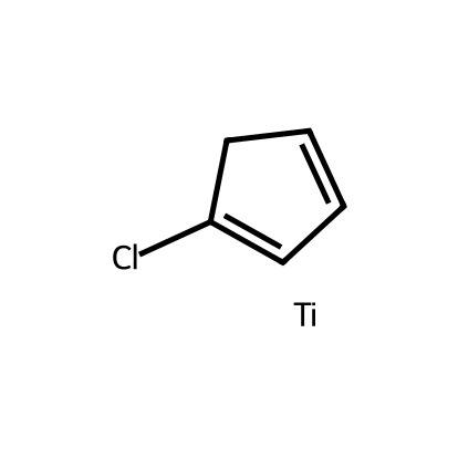 ClC1=CC=CC1.[Ti]